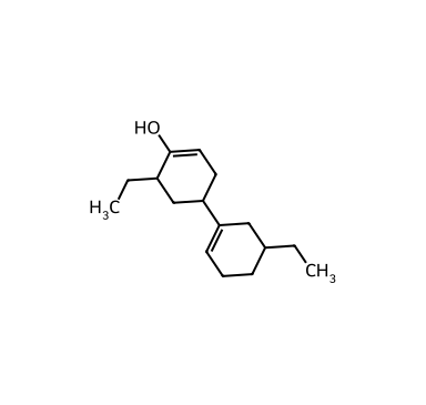 CCC1CCC=C(C2CC=C(O)C(CC)C2)C1